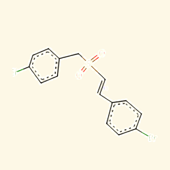 O=S(=O)(/C=C/c1ccc(Br)cc1)Cc1ccc(Cl)cc1